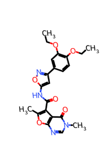 CCOc1ccc(-c2cc(NC(=O)c3c(C)oc4ncn(C)c(=O)c34)on2)cc1OCC